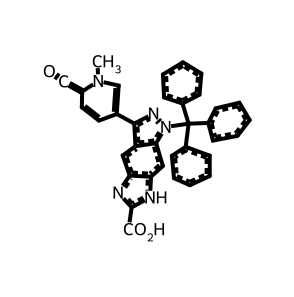 CN1C=C(c2nn(C(c3ccccc3)(c3ccccc3)c3ccccc3)c3cc4[nH]c(C(=O)O)nc4cc23)C=CC1=C=O